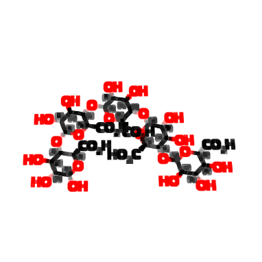 O=C(O)[C@H]1O[C@H](O[C@H]2[C@H](O)[C@@H](O)[C@@H](O[C@H]3[C@H](O)[C@@H](O)[C@@H](O[C@H]4[C@H](O)[C@@H](O)[C@@H](O[C@H]5[C@H](O)[C@@H](O)[C@@H](O)O[C@@H]5C(=O)O)O[C@@H]4C(=O)O)O[C@@H]3C(=O)O)O[C@@H]2C(=O)O)[C@H](O)[C@@H](O)[C@@H]1O